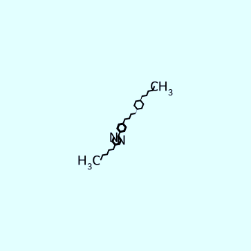 CCCCCCc1cnc(-c2ccc(CCCC[C@H]3CC[C@H](CCCCC)CC3)cc2)nc1